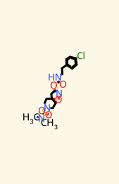 CN(C)S(=O)(=O)N1CCC2(CC1)CC(OC(=O)NCCc1ccc(Cl)cc1)=NO2